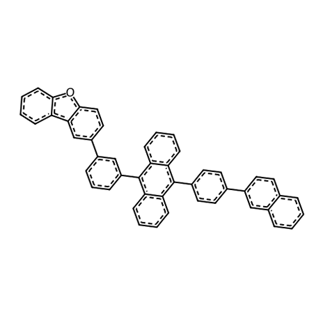 c1cc(-c2ccc3oc4ccccc4c3c2)cc(-c2c3ccccc3c(-c3ccc(-c4ccc5ccccc5c4)cc3)c3ccccc23)c1